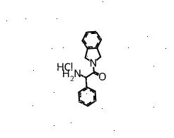 Cl.NC(C(=O)N1Cc2ccccc2C1)c1ccccc1